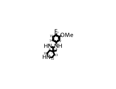 COc1cc(NC(=N)C2(C)CCNCC2)ccc1F